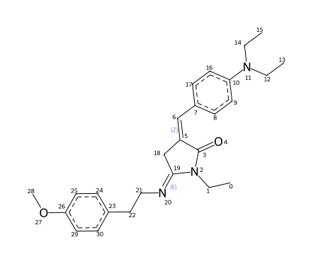 CCN1C(=O)/C(=C\c2ccc(N(CC)CC)cc2)C/C1=N\CCc1ccc(OC)cc1